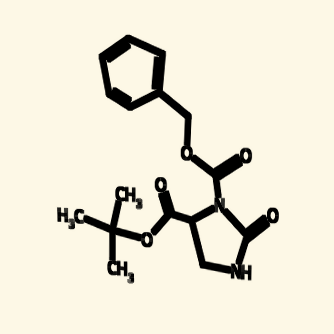 CC(C)(C)OC(=O)C1CNC(=O)N1C(=O)OCc1ccccc1